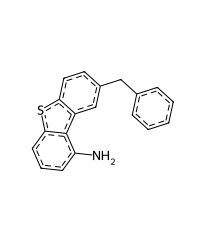 Nc1cccc2sc3ccc(Cc4ccccc4)cc3c12